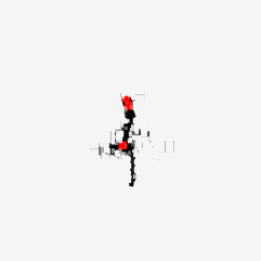 C#CCOCCCCCCO[C@]1(C(=O)O)C[C@H](O)[C@@H](NC(=O)CO)[C@H]([C@H](O)[C@H](O)CNC(=O)Cc2ccc(N3CCC(O)CC3)cc2)O1